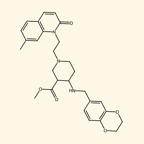 COC(=O)C1CN(CCn2c(=O)ccc3ccc(C)cc32)CCC1NCc1ccc2c(c1)OCCO2